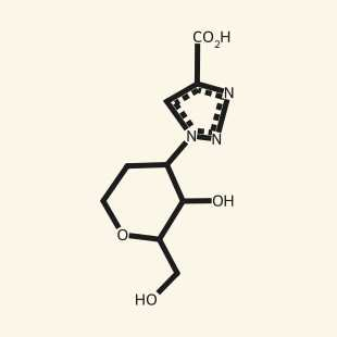 O=C(O)c1cn(C2CCOC(CO)C2O)nn1